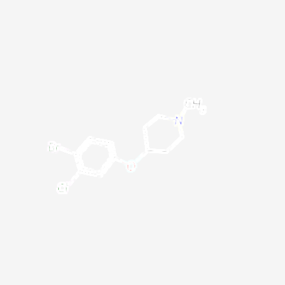 CN1CCC(Oc2ccc(Br)c(Cl)c2)CC1